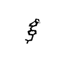 CC(C)Cc1ccc(-c2ccc3ccoc3c2)cc1